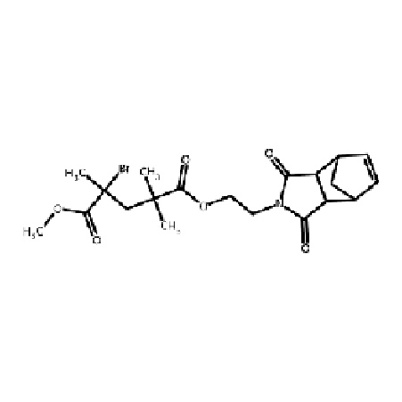 COC(=O)C(C)(Br)CC(C)(C)C(=O)OCCN1C(=O)C2C3C=CC(C3)C2C1=O